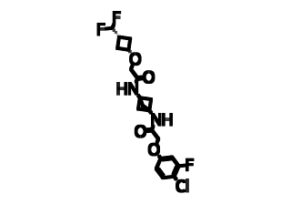 O=C(COc1ccc(Cl)c(F)c1)NC12CC(NC(=O)CO[C@H]3C[C@@H](C(F)F)C3)(C1)C2